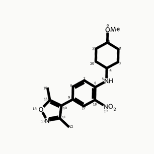 COC1CCC(Nc2ccc(-c3c(C)noc3C)cc2[N+](=O)[O-])CC1